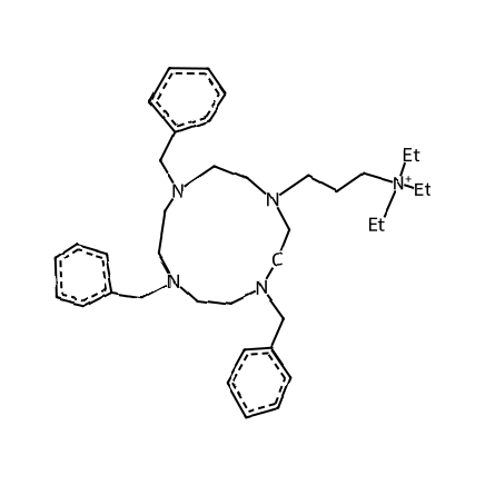 CC[N+](CC)(CC)CCCN1CCN(Cc2ccccc2)CCN(Cc2ccccc2)CCN(Cc2ccccc2)CC1